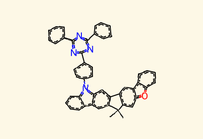 CC1(C)c2cc3oc4ccccc4c3cc2-c2cc3c(cc21)c1ccccc1n3-c1ccc(-c2nc(-c3ccccc3)nc(-c3ccccc3)n2)cc1